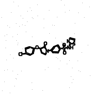 O=C1C(Oc2ccc(Cl)cc2)CCN1c1ccc(S(=O)(=O)Nc2nccs2)cc1